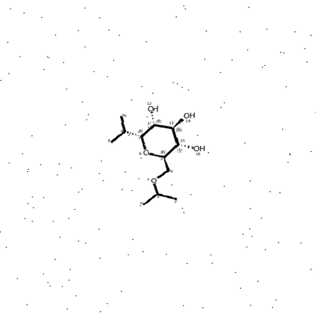 CC(C)OC[C@H]1O[C@H](C(C)C)[C@H](O)[C@@H](O)[C@@H]1O